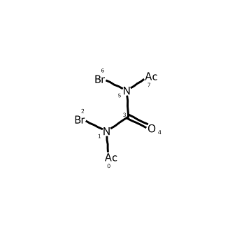 CC(=O)N(Br)C(=O)N(Br)C(C)=O